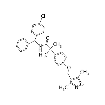 Cc1noc(C)c1COc1ccc(C(C)(C)C(=O)NC(c2ccccc2)c2ccc(Cl)cc2)cc1